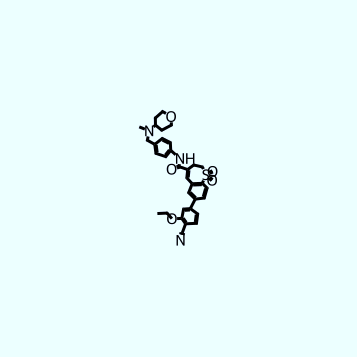 CCOc1cc(-c2ccc3c(c2)C=C(C(=O)Nc2ccc(CN(C)C4CCOCC4)cc2)CCS3(=O)=O)ccc1C#N